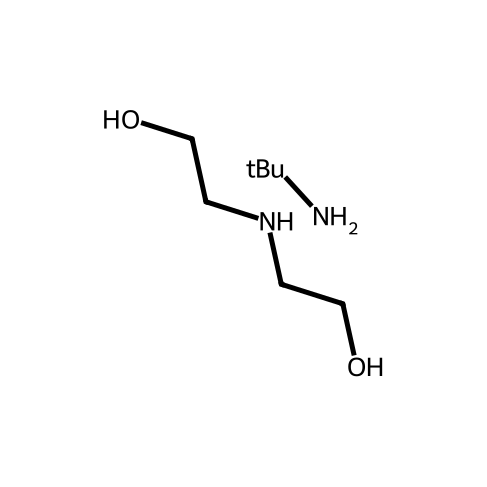 CC(C)(C)N.OCCNCCO